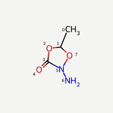 CC1OC(=O)N(N)O1